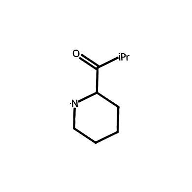 CC(C)C(=O)C1CCCC[N]1